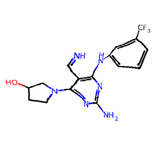 N=Cc1c(Nc2cccc(C(F)(F)F)c2)nc(N)nc1N1CCC(O)C1